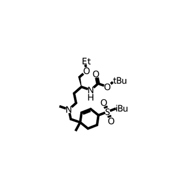 CCOC[C@H](CCN(C)CC1(C)C=CC(S(=O)(=O)C(C)CC)CC1)NC(=O)OC(C)(C)C